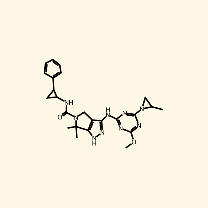 COc1nc(Nc2n[nH]c3c2CN(C(=O)NC2CC2c2ccccc2)C3(C)C)nc(N2CC2C)n1